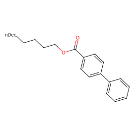 CCCCCCCCCCCCCCOC(=O)c1ccc(-c2ccccc2)cc1